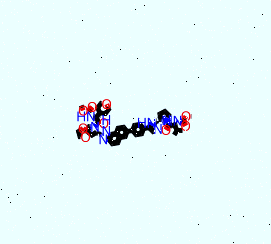 COC(=O)N[C@H](C(=O)N1CCC[C@H]1c1ncc(-c2ccc(-c3ccc4c(ccc5nc([C@@H]6CC7(CN6C(=O)[C@@H](NC(=O)OC)C6CCOCC6)OCCO7)[nH]c54)c3)cc2)[nH]1)C(C)C